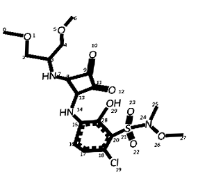 COCC(COC)NC1C(=O)C(=O)C1Nc1ccc(Cl)c(S(=O)(=O)N(C)OC)c1O